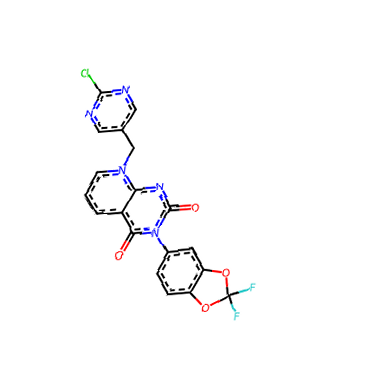 O=c1nc2n(Cc3cnc(Cl)nc3)cccc-2c(=O)n1-c1ccc2c(c1)OC(F)(F)O2